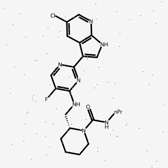 CCCNC(=O)N1CCCC[C@@H]1CNc1nc(-c2c[nH]c3ncc(Cl)cc23)ncc1F